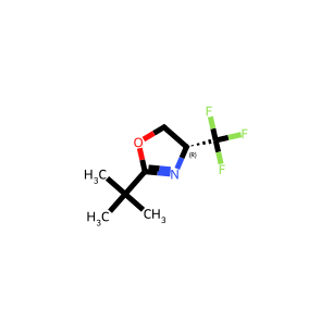 CC(C)(C)C1=N[C@@H](C(F)(F)F)CO1